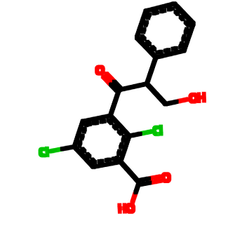 O=C(O)c1cc(Cl)cc(C(=O)C(CO)c2ccccc2)c1Cl